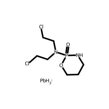 O=P1(N(CCCl)CCCl)NCCCO1.[PbH2]